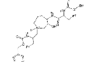 CC(C)CC(C[N+]1(I)CCCC(NC(=O)C(CC(C)C)NC(=O)OC(C)(C)C)C(O)C1)NC(=O)OCc1ccccc1